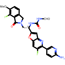 COc1ccc2c(c1F)C(=O)N(C[C@H](NC(=O)NC=O)c1cc3nc(-c4ccc(N)nc4)c(F)cc3o1)C2